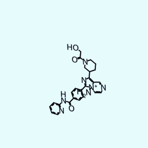 N[N+]12C=CN=CC1=C(C1CCCN(C(=O)CO)C1)N=C2c1ccc(C(=O)Nc2ccccn2)cc1